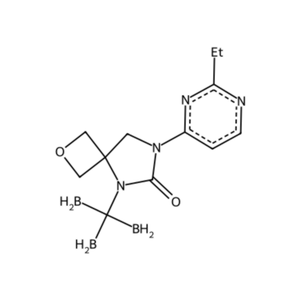 BC(B)(B)N1C(=O)N(c2ccnc(CC)n2)CC12COC2